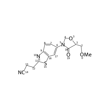 COCC1OCN(c2ccc3nc(CCC#N)sc3c2)C1=O